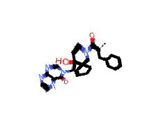 C[C@H](CC1CCCCC1)C(=O)N1CCC(O)(Cn2cnc3nccnc3c2=O)C2(CCCC2)C1